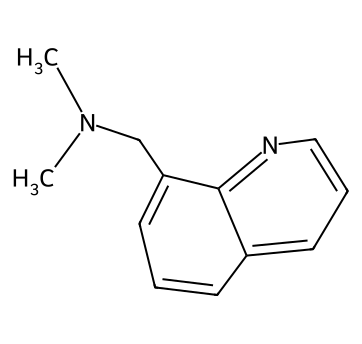 CN(C)Cc1cccc2cccnc12